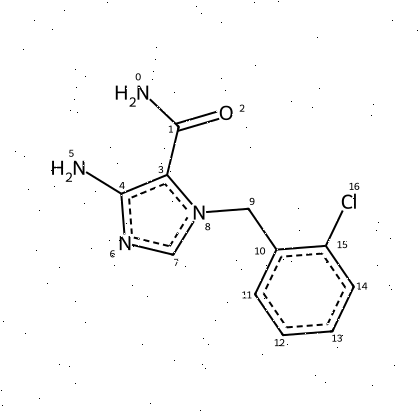 NC(=O)c1c(N)ncn1Cc1ccccc1Cl